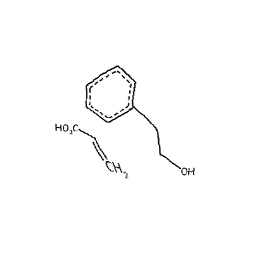 C=CC(=O)O.OCCc1ccccc1